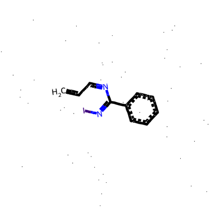 C=C/C=N\C(=N/I)c1ccccc1